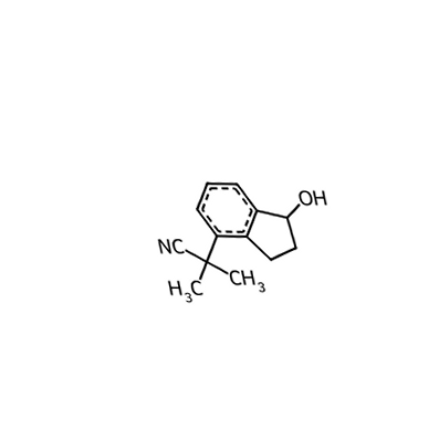 CC(C)(C#N)c1cccc2c1CCC2O